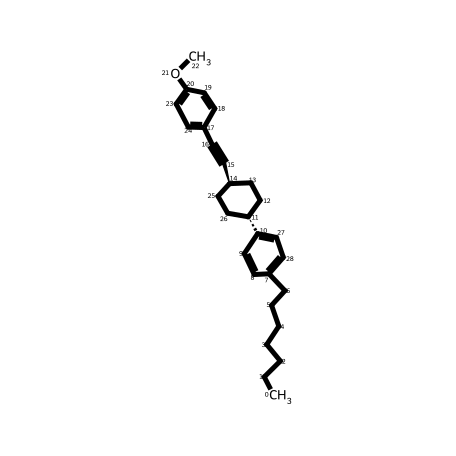 CCCCCCCc1ccc([C@H]2CC[C@H](C#Cc3ccc(OC)cc3)CC2)cc1